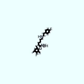 Cc1cc(C[C@H](CCCCNCCc2ccc(F)cc2)C(=O)NO)cc(C)c1F